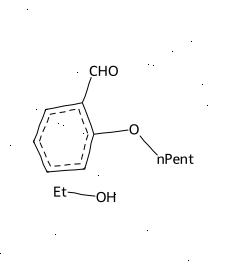 CCCCCOc1ccccc1C=O.CCO